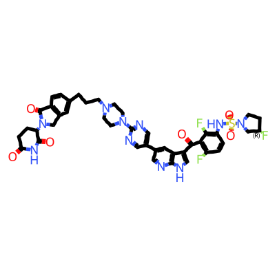 O=C1CCC(N2Cc3cc(CCCN4CCN(c5ncc(-c6cnc7[nH]cc(C(=O)c8c(F)ccc(NS(=O)(=O)N9CC[C@@H](F)C9)c8F)c7c6)cn5)CC4)ccc3C2=O)C(=O)N1